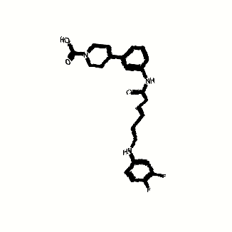 O=C(CCCCCNc1ccc(F)c(F)c1)Nc1cccc(C2CCN(C(=O)O)CC2)c1